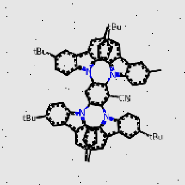 Cc1ccc2c(c1)c1cc(C(C)(C)C)ccc1n2-c1cc(-n2c3ccc(C)cc3c3cc(C(C)(C)C)ccc32)c(-n2c3ccc(C)cc3c3cc(C(C)(C)C)ccc32)c(C#N)c1-n1c2ccc(C)cc2c2cc(C(C)(C)C)ccc21